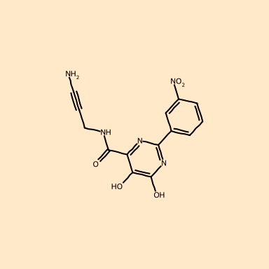 NC#CCNC(=O)c1nc(-c2cccc([N+](=O)[O-])c2)nc(O)c1O